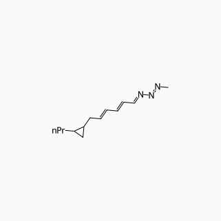 CCCC1CC1C/C=C/C=C/C=N/N=N/C